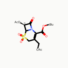 CC(=O)OCC1=C(C(=O)OC(C)(C)C)N2C(=O)[C@H](OC(C)=O)C2S(=O)(=O)C1